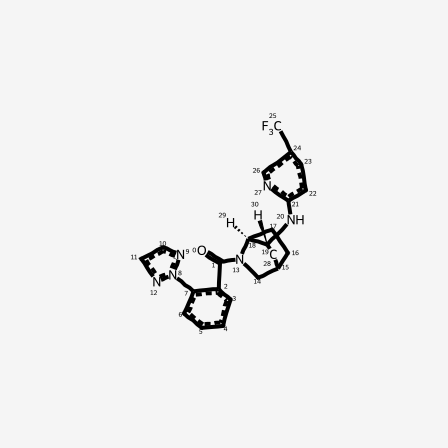 O=C(c1ccccc1-n1nccn1)N1CC2CC[C@H]1[C@H](Nc1ccc(C(F)(F)F)cn1)C2